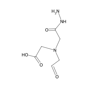 NNC(=O)CN(CC=O)CC(=O)O